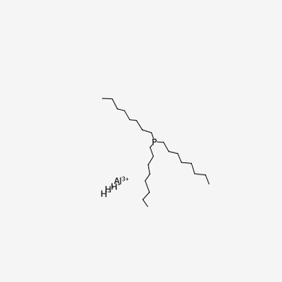 CCCCCCCCP(CCCCCCCC)CCCCCCCC.[Al+3].[H-].[H-].[H-]